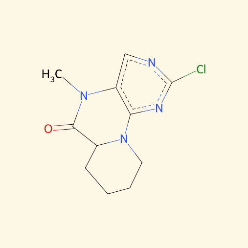 CN1C(=O)C2CCCCN2c2nc(Cl)ncc21